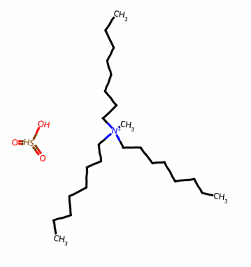 CCCCCCCC[N+](C)(CCCCCCCC)CCCCCCCC.O=[SH](=O)O